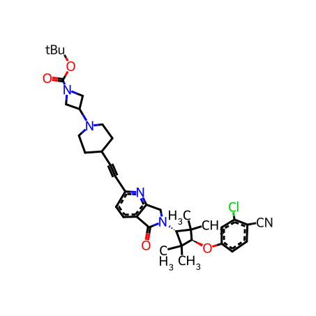 CC(C)(C)OC(=O)N1CC(N2CCC(C#Cc3ccc4c(n3)CN([C@H]3C(C)(C)[C@H](Oc5ccc(C#N)c(Cl)c5)C3(C)C)C4=O)CC2)C1